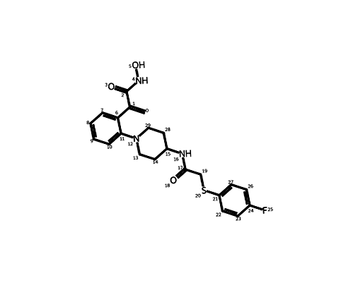 C=C(C(=O)NO)c1ccccc1N1CCC(NC(=O)CSc2ccc(F)cc2)CC1